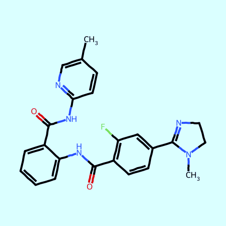 Cc1ccc(NC(=O)c2ccccc2NC(=O)c2ccc(C3=NCCN3C)cc2F)nc1